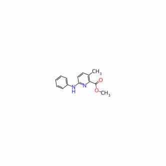 COC(=O)c1nc(Nc2ccccc2)ccc1C